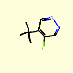 CC(C)(C)c1cnncc1F